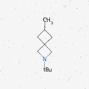 CC1CC2(C1)CN(C(C)(C)C)C2